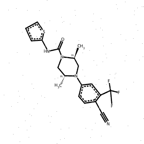 C[C@@H]1CN(C(=O)Nc2cccs2)[C@@H](C)CN1c1ccc(C#N)c(C(F)(F)F)c1